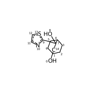 OC12CCC(CC1)C(O)(c1nccs1)C2